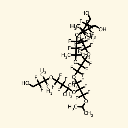 CC(C)OC(F)(F)C(F)(OC(C)(C)C(F)(F)C(F)(F)OC(C)(C)C(F)(F)CO)C(F)(F)OC(F)(F)C(F)(OC(C)(C)C(F)(F)C(F)(F)OC(C)(C)C(F)(F)CO)C(F)(F)OC(F)(F)C(F)(F)OC(C)(C)C(F)(F)CO